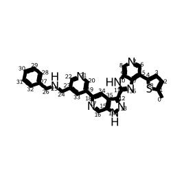 Cc1ccc(-c2cncc3[nH]c(-c4n[nH]c5cnc(-c6cncc(CNCc7ccccc7)c6)cc45)nc23)s1